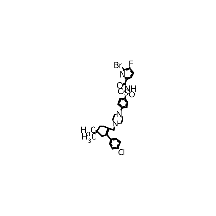 CC1(C)CCC(CN2CCN(c3ccc(S(=O)(=O)NC(=O)c4ccc(F)c(Br)n4)cc3)CC2)=C(c2ccc(Cl)cc2)C1